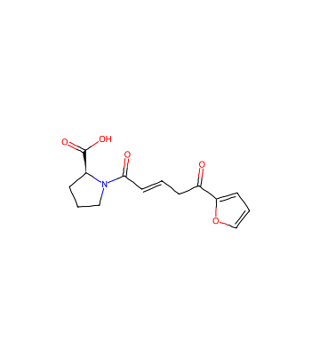 O=C(C/C=C/C(=O)N1CCC[C@H]1C(=O)O)c1ccco1